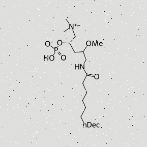 CCCCCCCCCCCCCCCC(=O)NCC(CC(C[N+](C)(C)C)OP(=O)([O-])O)OC